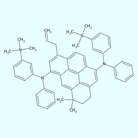 C=CCc1cc(N(c2ccccc2)c2cccc([Si](C)(C)C)c2)c2cc3c4c(cc(N(c5ccccc5)c5cccc([Si](C)(C)C)c5)c5ccc1c2c54)CCC3(C)C